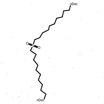 CCCCCCCCCCCCCCCCCCCCS(=O)(=O)CCCCCCCCCCCCCCCCCCCC